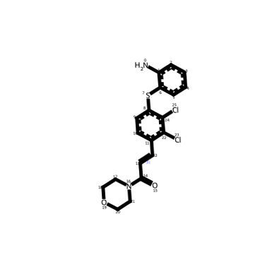 Nc1ccccc1Sc1ccc(/C=C/C(=O)N2CCOCC2)c(Cl)c1Cl